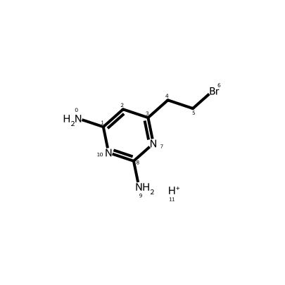 Nc1cc(CCBr)nc(N)n1.[H+]